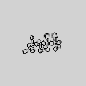 c1ccc(N2c3cc4c(cc3B3c5ccccc5Oc5cccc2c53)B2c3c(cc5c6c3-n3c7c(cccc7c7cccc2c73)B6c2cc3c(cc2O5)N(c2ccccc2)c2cccc5c2B3c2ccccc2N5c2ccccc2)N4c2ccccc2)cc1